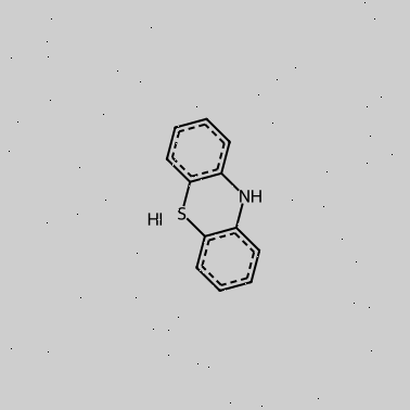 I.c1ccc2c(c1)Nc1ccccc1S2